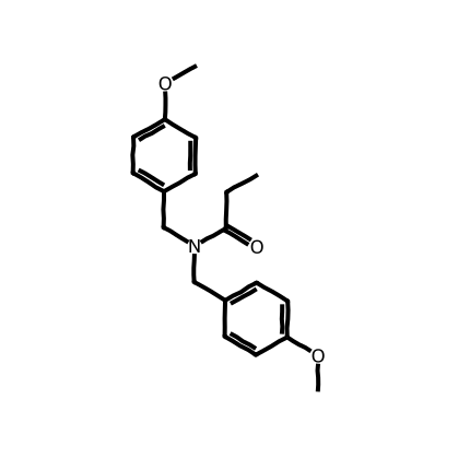 CCC(=O)N(Cc1ccc(OC)cc1)Cc1ccc(OC)cc1